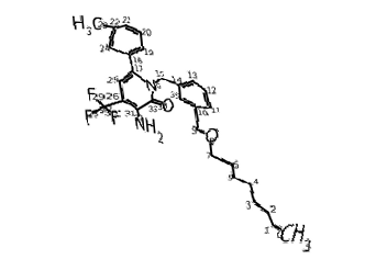 CCCCCCCCOCc1cccc(Cn2c(-c3cccc(C)c3)cc(C(F)(F)F)c(N)c2=O)c1